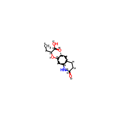 CCC(Oc1ccc2c(c1)NC(=O)CC2)C(=O)O